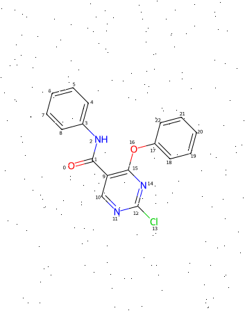 O=C(Nc1ccccc1)c1cnc(Cl)nc1Oc1ccccc1